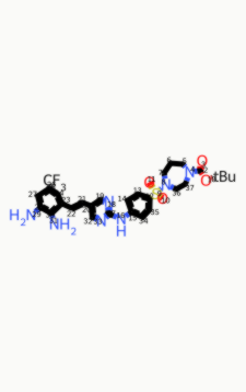 CC(C)(C)OC(=O)N1CCCN(S(=O)(=O)c2ccc(Nc3ncc(/C=C/c4cc(C(F)(F)F)cc(N)c4N)cn3)cc2)CC1